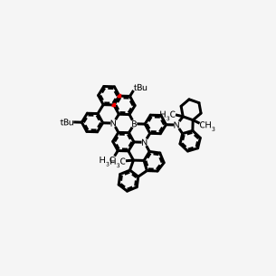 Cc1cc2c3c4c1C1(C)c5ccccc5-c5cccc(c51)N4c1cc(N4c5ccccc5C5(C)CCCCC45C)ccc1B3c1cc(C(C)(C)C)ccc1N2c1ccc(C(C)(C)C)cc1-c1ccccc1